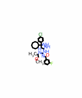 COC[C@H](C)N/C(=N/C(=O)c1cccc(F)c1)NC1CC(c2ccc(Cl)cc2)(C2CCCCCCC2)NN1